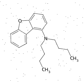 CCCCN(CCCC)c1cccc2oc3ccccc3c12